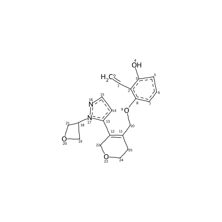 C=Cc1c(O)cccc1OCC1=C(c2ccnn2C2COC2)COCC1